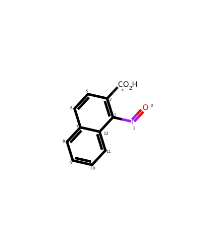 O=Ic1c(C(=O)O)ccc2ccccc12